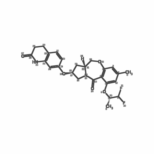 Cc1cc2c(c(O[C@@H](C)C(F)F)c1)C(=O)N1C[C@@H](Oc3ccc4c(c3)NC(=O)CC4)C[C@@H]1CO2